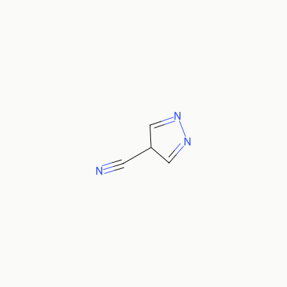 N#CC1C=NN=C1